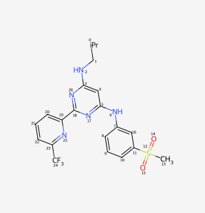 CC(C)CNc1cc(Nc2cccc(S(C)(=O)=O)c2)nc(-c2cccc(C(F)(F)F)n2)n1